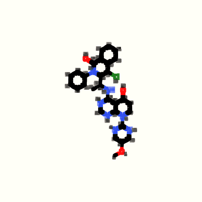 COc1cnc(-n2ccc(=O)c3c(N[C@@H](C)c4c(Cl)c5ccccc5c(=O)n4-c4ccccc4)ncnc32)nc1